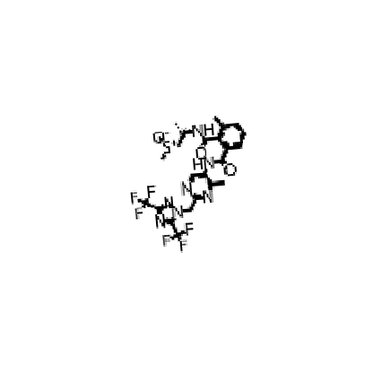 Cc1cccc(C(=O)Nc2cnc(Cn3nc(C(F)(F)F)nc3C(F)(F)F)nc2C)c1C(=O)N[C@@H](C)C[S+](C)[O-]